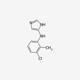 Cc1c(Cl)cccc1Nc1cnc[nH]1